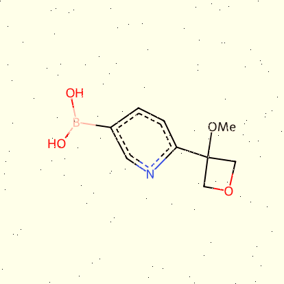 COC1(c2ccc(B(O)O)cn2)COC1